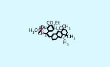 CCOC(=O)c1cccc(C(=Cc2ccc3cc4c(cc3c2)C(C)(C)CCC4(C)C)CO[Si](C)(C)C(C)(C)C)c1